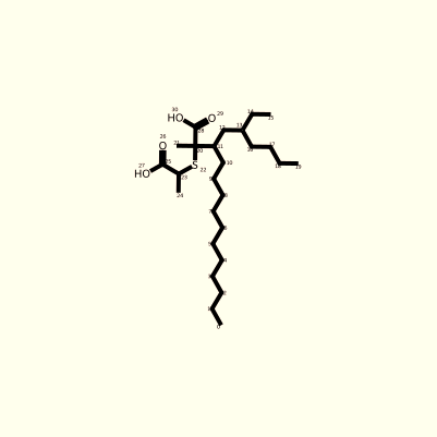 CCCCCCCCCCCC(CC(CC)CCCC)C(C)(SC(C)C(=O)O)C(=O)O